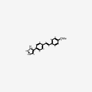 COc1ccc(C=Cc2ccc(-c3cnn[nH]3)cc2)cc1